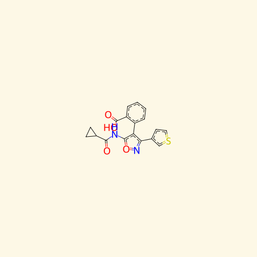 O=C(O)c1ccccc1-c1c(-c2ccsc2)noc1NC(=O)C1CC1